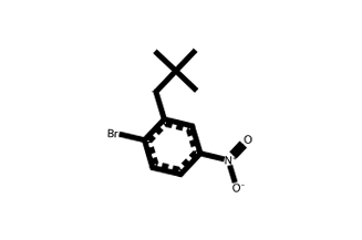 CC(C)(C)[CH]c1cc([N+](=O)[O-])ccc1Br